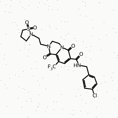 O=C(NCc1ccc(Cl)cc1)c1cc(C(F)(F)F)c2n(c1=O)CCN(CCN1CCCS1(=O)=O)C2=O